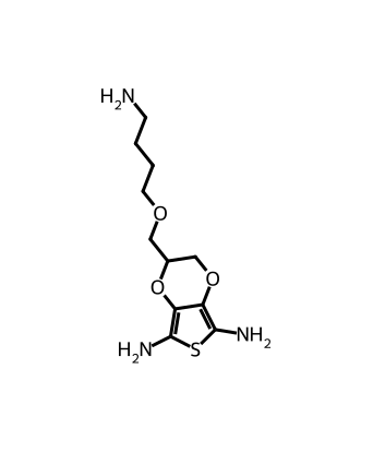 NCCCCOCC1COc2c(N)sc(N)c2O1